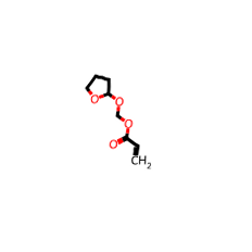 C=CC(=O)OCOC1CCCO1